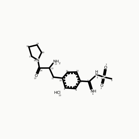 CS(=O)(=O)NC(=N)c1ccc(CC(N)C(=O)N2CCCC2)cc1.Cl